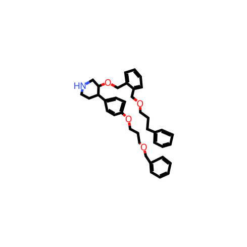 c1ccc(CCCOCc2ccccc2COC2CNCCC2c2ccc(OCCCOCc3ccccc3)cc2)cc1